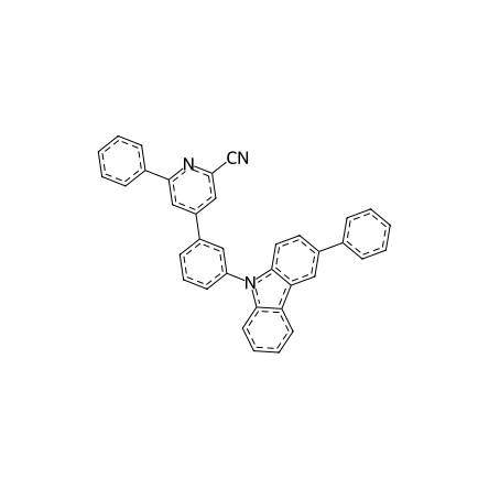 N#Cc1cc(-c2cccc(-n3c4ccccc4c4cc(-c5ccccc5)ccc43)c2)cc(-c2ccccc2)n1